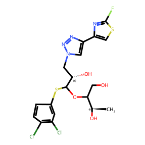 C[C@@H](O)C(CO)OC(Sc1ccc(Cl)c(Cl)c1)[C@@H](O)Cn1cc(-c2csc(F)n2)nn1